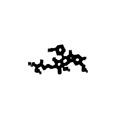 COc1cc2c3c([nH]c2cc1F)[C@@H](c1cccc(O)c1)N1C(=O)N(CCCNC(C)C)C(=O)[C@]1(C)C3